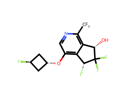 O[C@H]1c2c(C(F)(F)F)ncc(O[C@H]3C[C@H](F)C3)c2[C@@H](F)C1(F)F